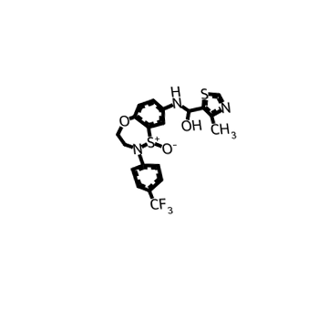 Cc1ncsc1C(O)Nc1ccc2c(c1)[S+]([O-])N(c1ccc(C(F)(F)F)cc1)CCO2